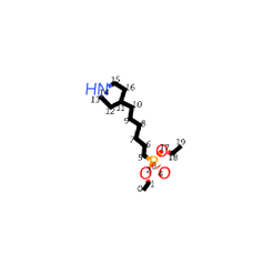 CCOP(=O)(CCCCCCC1CCNCC1)OCC